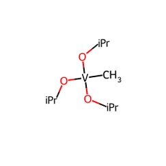 CC(C)[O][V]([CH3])([O]C(C)C)[O]C(C)C